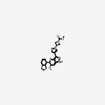 COC(=O)N1CC(n2cc(-c3n[nH]c4cc(OC)c(-c5cccc6c5CCC6)nc34)cn2)C1